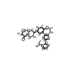 CC(C)n1ncnc1-c1nc2c(s1)CCOc1ccc(C3CCN(C(=O)[C@H](C)O)CC3)cc1-2